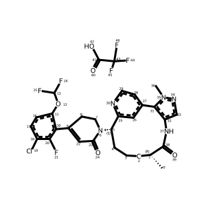 C[C@@H]1CCC[C@H](N2CCC(c3c(OC(F)F)ccc(Cl)c3F)=CC2=O)c2cc(ccn2)-c2c(cnn2C)NC1=O.O=C(O)C(F)(F)F